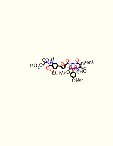 CCCCCC(C(=O)NCNC(=O)c1ccc(-c2ccc(C(=O)NC(CC(=O)O)C(=O)O)c(OCC)c2)o1)[C@@H](CC)N(C=O)OC(=O)c1ccc(OC)cc1OC